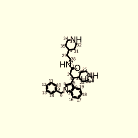 Cl.O=C(CC(c1cn(Cc2ccccc2)c2ccccc12)C1CCNCC1)NCCC1CCNCC1